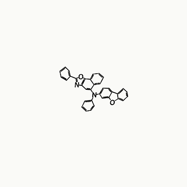 c1ccc(-c2nc3cc(N(c4ccccc4)c4ccc5c(c4)oc4ccccc45)c4ccccc4c3o2)cc1